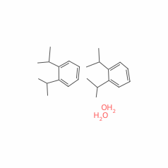 CC(C)c1ccccc1C(C)C.CC(C)c1ccccc1C(C)C.O.O